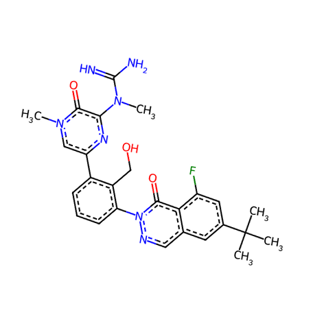 CN(C(=N)N)c1nc(-c2cccc(-n3ncc4cc(C(C)(C)C)cc(F)c4c3=O)c2CO)cn(C)c1=O